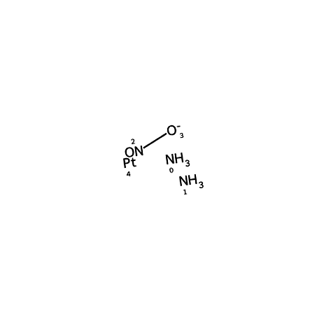 N.N.O=[NH+][O-].[Pt]